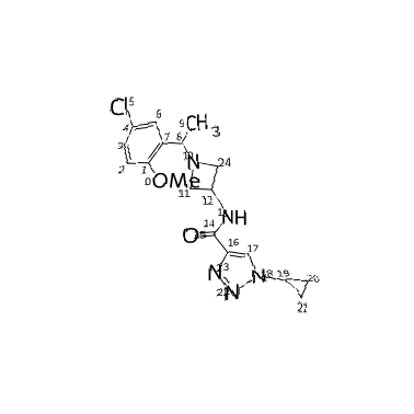 COc1ccc(Cl)cc1C(C)N1CC(NC(=O)c2cn(C3CC3)nn2)C1